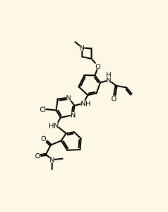 C=CC(=O)Nc1cc(Nc2ncc(Cl)c(Nc3ccccc3C(=O)C(=O)N(C)C)n2)ccc1OC1CN(C)C1